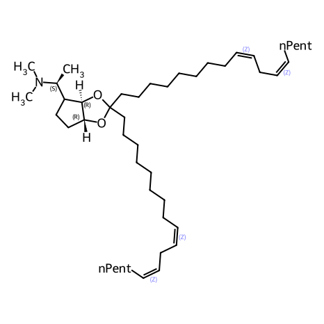 CCCCC/C=C\C/C=C\CCCCCCCCC1(CCCCCCCC/C=C\C/C=C\CCCCC)O[C@@H]2C([C@H](C)N(C)C)CC[C@H]2O1